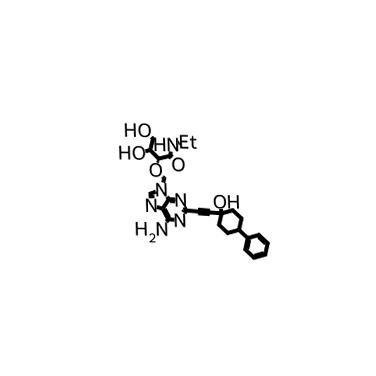 CCNC(=O)[C@@H](OCn1cnc2c(N)nc(C#CC3(O)CCC(c4ccccc4)CC3)nc21)C(O)CO